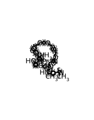 Cc1ncsc1-c1ccc([C@H](C)NC(=O)[C@@H]2C[C@@H](O)CN2C(=O)[C@@H](c2cc(OCCN3CCN(CCO[C@H]4C[C@H](OCCN5CCOC6(CCN(c7cc(-c8ccccc8O)nnc7N)CC6)C5)C4)CC3)no2)C(C)C)cc1